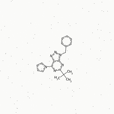 CC(C)(C)c1nc(-n2cccc2)c2nnn(Cc3ccccc3)c2n1